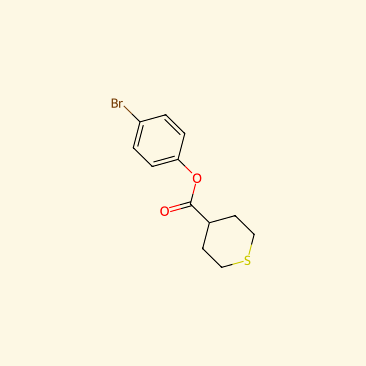 O=C(Oc1ccc(Br)cc1)C1CCSCC1